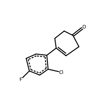 O=C1CC=C(c2ccc(F)cc2Cl)CC1